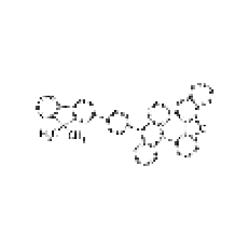 CC1(C)c2ccccc2-c2ccc(-c3ccc(-c4c5ccccc5c(-c5cccc6oc7c8ccccc8ccc7c56)c5ccccc45)cc3)cc21